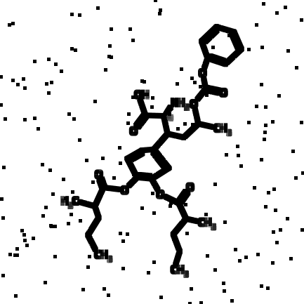 CCCC(C)C(=O)Oc1ccc(C(CC(C)OC(=O)Oc2ccccc2)[C@H](N)C(=O)O)cc1OC(=O)C(C)CCC